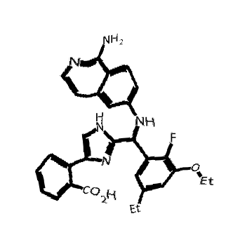 CCOc1cc(CC)cc(C(Nc2ccc3c(N)nccc3c2)c2nc(-c3ccccc3C(=O)O)c[nH]2)c1F